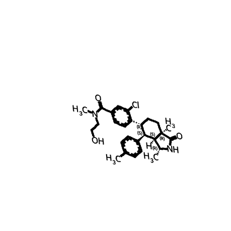 Cc1ccc([C@@H]2[C@@H]3[C@@H](C)NC(=O)[C@]3(C)CC[C@H]2c2ccc(C(=O)N(C)CCO)cc2Cl)cc1